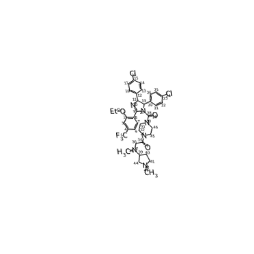 CCOc1cc(C(F)(F)F)ccc1C1=NC(c2ccc(Cl)cc2)C(c2ccc(Cl)cc2)N1C(=O)N1CCN(C(=O)CN(C)C2CCN(C)C2)CC1